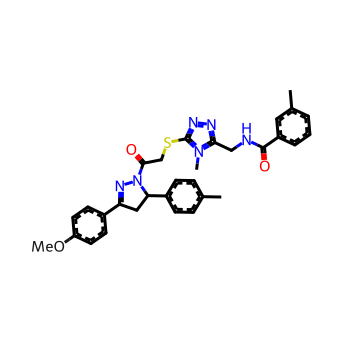 COc1ccc(C2=NN(C(=O)CSc3nnc(CNC(=O)c4cccc(C)c4)n3C)C(c3ccc(C)cc3)C2)cc1